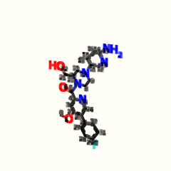 COc1cc(C(=O)N2CCN(c3cnc(N)cc3C)C[C@@H]2CO)ncc1-c1ccc(F)cc1